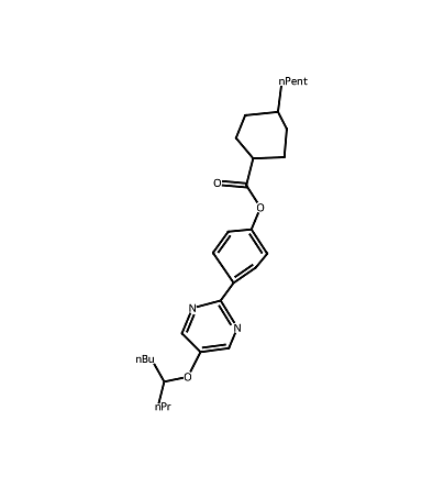 CCCCCC1CCC(C(=O)Oc2ccc(-c3ncc(OC(CCC)CCCC)cn3)cc2)CC1